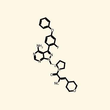 N#CC(=CC1CCOCC1)C(=O)N1CCC[C@H]1Cn1nc(-c2ccc(Oc3ccccc3)cc2F)c2c(N)ncnc21